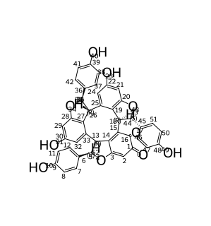 O=C1C=C2O[C@@H](c3ccc(O)cc3)[C@H]3C2=C(C1=O)[C@H]1c2c(cc(O)cc2[C@@H]2c4c(cc(O)cc43)O[C@H]2c2ccc(O)cc2)O[C@@H]1c1ccc(O)cc1